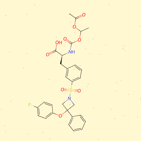 CC(=O)OC(C)OC(=O)N[C@@H](Cc1cccc(S(=O)(=O)N2CC(Oc3ccc(F)cc3)(c3ccccc3)C2)c1)C(=O)O